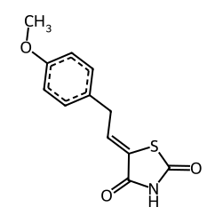 COc1ccc(CC=C2SC(=O)NC2=O)cc1